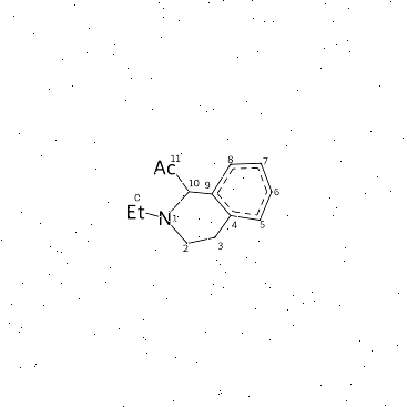 CCN1CCc2ccccc2C1C(C)=O